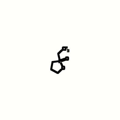 O=P1(CC(F)(F)F)CCCO1